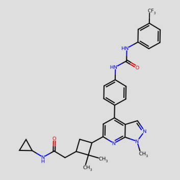 Cn1ncc2c(-c3ccc(NC(=O)Nc4cccc(C(F)(F)F)c4)cc3)cc(C3CC(CC(=O)NC4CC4)C3(C)C)nc21